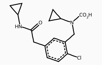 O=C(Cc1ccc(Cl)c(CN(C(=O)O)C2CC2)c1)NC1CC1